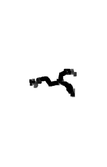 CCCN(C#N)CC